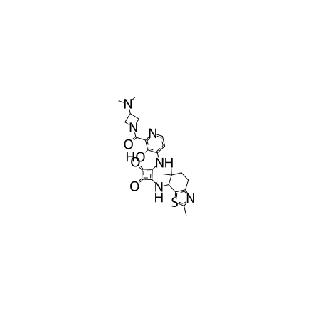 Cc1nc2c(s1)C(Nc1c(Nc3ccnc(C(=O)N4CC(N(C)C)C4)c3O)c(=O)c1=O)C(C)(C)CC2